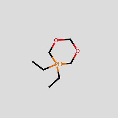 CC[PH]1(CC)COCOC1